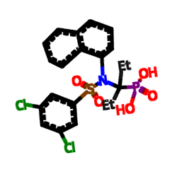 CCC(CC)(N(c1cccc2ccccc12)S(=O)(=O)c1cc(Cl)cc(Cl)c1)P(=O)(O)O